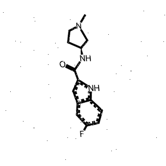 CN1CC[C@H](NC(=O)c2cc3cc(F)ccc3[nH]2)C1